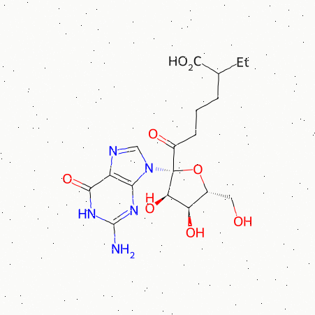 CCC(CCCC(=O)[C@@]1(n2cnc3c(=O)[nH]c(N)nc32)O[C@H](CO)[C@@H](O)[C@H]1O)C(=O)O